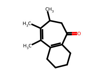 CC1=C(C)C(C)CC(=O)C2=C1CCCC2